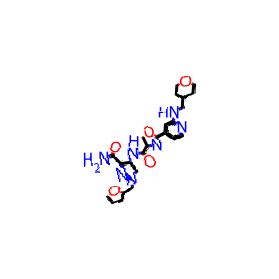 NC(=O)C1=NN(CC2CCCO2)CC1NC(=O)C1COC(c2ccnc(NCC3CCOCC3)c2)=N1